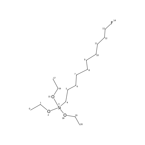 CCO[Si](CCCCCCCCCCF)(OCC)OCC